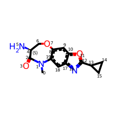 CN1C(=O)[C@@H](N)COc2cc3oc(C4CC4)nc3cc21